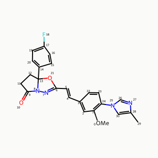 COc1cc(C=CC2=NN3C(=O)CCC3(c3ccc(F)cc3)O2)ccc1-n1cnc(C)c1